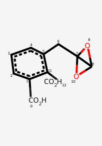 O=C(O)c1cccc(CC23OC2O3)c1C(=O)O